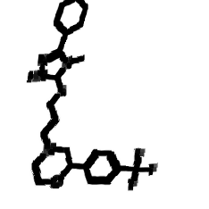 CN1C(C2CCCCC2)=NNC1SCCCN1CCOC(c2ccc(C(F)(F)F)cc2)C1